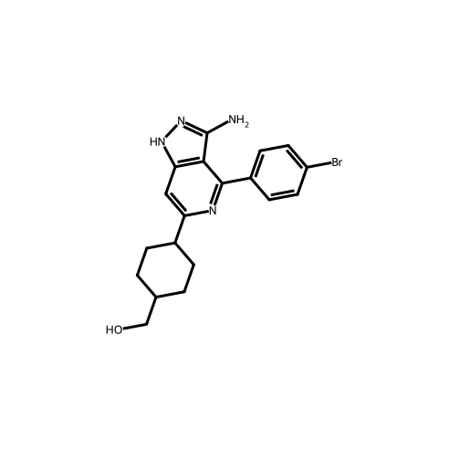 Nc1n[nH]c2cc(C3CCC(CO)CC3)nc(-c3ccc(Br)cc3)c12